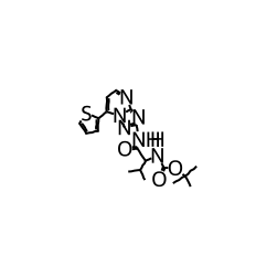 CC(C)C(NC(=O)OC(C)(C)C)C(=O)Nc1nc2nccc(-c3cccs3)n2n1